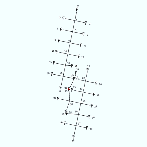 FC(F)(F)C(F)(F)C(F)(F)C(F)(F)C(F)(F)C(F)(F)[PH](F)(F)C(F)(F)C(F)(F)C(F)(C(F)(F)F)C(F)(F)C(F)(F)F